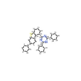 c1ccc(-c2ccc3c(c2)sc2cccc(-c4nc(-c5ccccc5)nc(-c5ccccc5)n4)c23)cc1